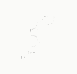 CCN(Cc1ccc(OC2CN(C)C2)s1)CC(F)F